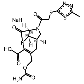 Cc1nnc(SCC(=O)N2C[C@H]3CC(COC(N)=O)=C(C(=O)O)N4C(=O)[C@@H]2[C@@H]34)s1.[NaH]